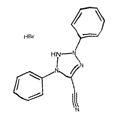 Br.N#CC1=NN(c2ccccc2)NN1c1ccccc1